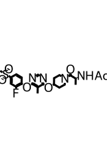 CC(=O)N[C@H](C)C(=O)N1CCC(Oc2ncnc(Oc3ccc(S(C)(=O)=O)cc3F)c2C)CC1